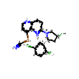 N#CSc1ccnc2ccc(N3C[C@@H](F)C[C@@H]3c3cc(F)ccc3F)nc12